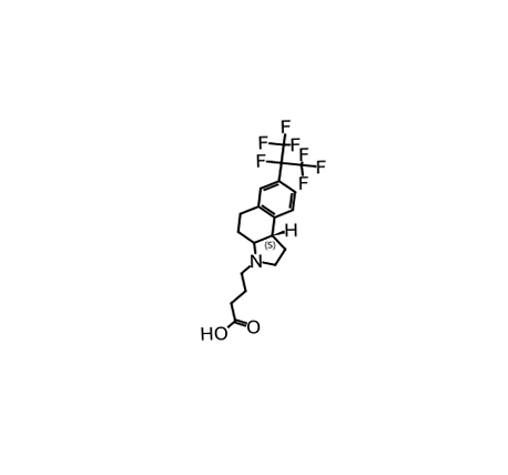 O=C(O)CCCN1CC[C@H]2c3ccc(C(F)(C(F)(F)F)C(F)(F)F)cc3CCC21